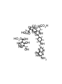 Nc1nc2ncc(CNc3ccc(C(=O)NC(CCC(=O)O)C(=O)O[C@@H](C(=O)O)[C@@H](O)[C@H](O)[C@H](O)CO)cc3)nc2c(=O)[nH]1.O=C(O)[C@H](O)[C@@H](O)[C@H](O)[C@H](O)CO.[Cu]